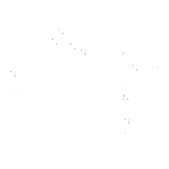 CN1CCN(C(=O)CN2C(=O)CCc3cc(-c4ccc5nnc(Cc6ccc7ncccc7c6)n5n4)ccc32)CC1